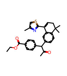 CCOC(=O)c1ccc(C(C(C)=O)c2ccc3c(c2)C(c2nc(C)cs2)=CCC3(C)C)cc1